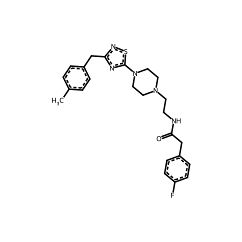 Cc1ccc(Cc2nsc(N3CCN(CCNC(=O)Cc4ccc(F)cc4)CC3)n2)cc1